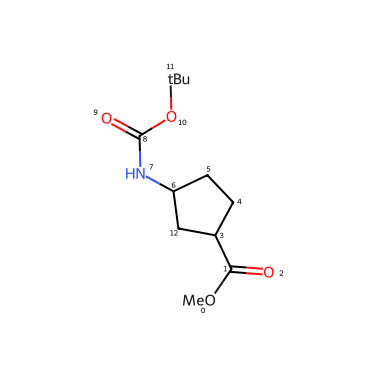 COC(=O)C1CCC(NC(=O)OC(C)(C)C)C1